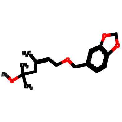 CCOC(C)(C)CC(C)=CCOCc1ccc2c(c1)OCO2